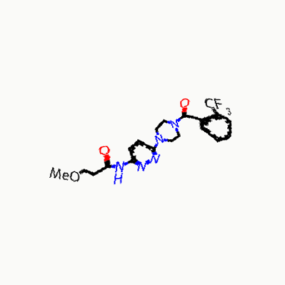 COCCC(=O)Nc1ccc(N2CCN(C(=O)c3ccccc3C(F)(F)F)CC2)nn1